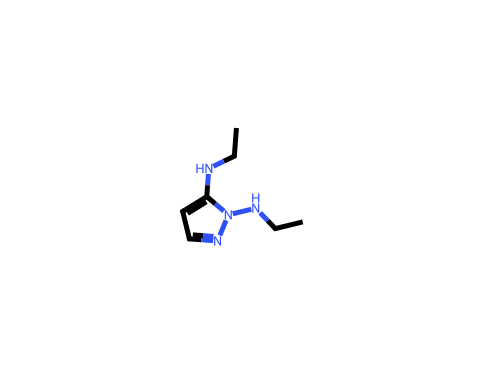 CCNc1ccnn1NCC